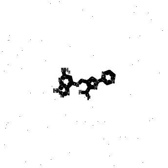 Nc1cc(SCc2cn(-c3cnccn3)nc2C(F)F)c2nn[nH]c2n1